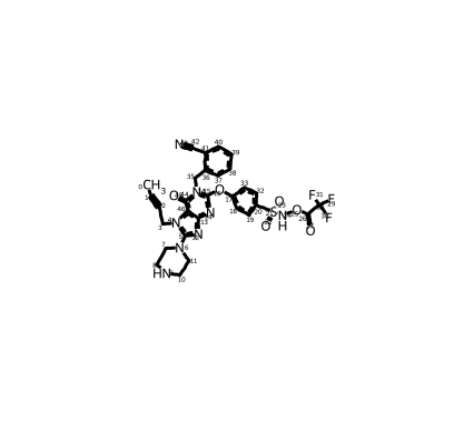 CC#CCn1c(N2CCNCC2)nc2nc(Oc3ccc(S(=O)(=O)NOC(=O)C(F)(F)F)cc3)n(Cc3ccccc3C#N)c(=O)c21